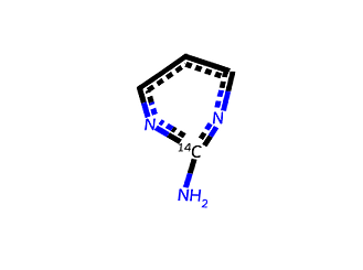 N[14c]1ncccn1